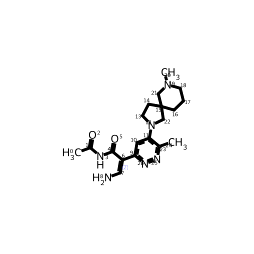 CC(=O)NC(=O)/C(=C\N)c1cc(N2CCC3(CCCN(C)C3)C2)c(C)nn1